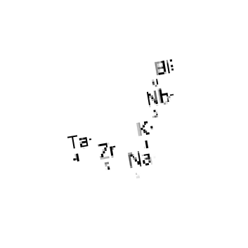 [Bi].[K].[Na].[Nb].[Ta].[Zr]